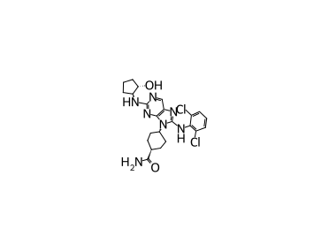 NC(=O)[C@H]1CC[C@@H](n2c(Nc3c(Cl)cccc3Cl)nc3cnc(N[C@H]4CCC[C@@H]4O)nc32)CC1